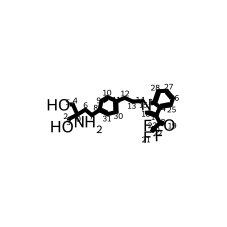 NC(CO)(CO)CCc1ccc(CCCn2cc(C(=O)C(F)(F)F)c3ccccc32)cc1